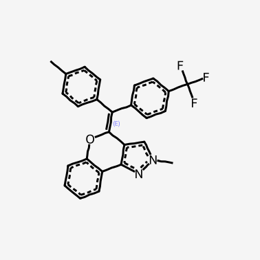 Cc1ccc(/C(=C2\Oc3ccccc3-c3nn(C)cc32)c2ccc(C(F)(F)F)cc2)cc1